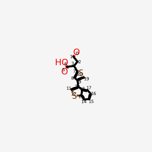 O=CCC(C(=O)O)c1cc(-c2csc3ccccc23)cs1